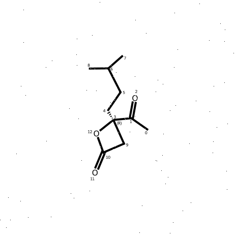 CC(=O)[C@@]1(CCC(C)C)CC(=O)O1